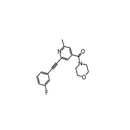 Cc1cc(C(=O)N2CCOCC2)cc(C#Cc2cccc(F)c2)n1